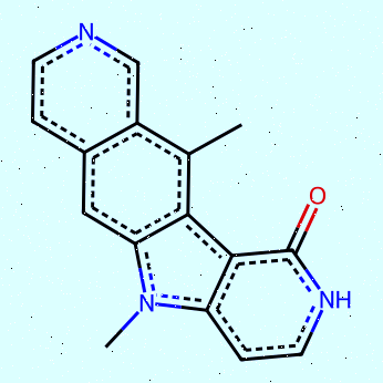 Cc1c2cnccc2cc2c1c1c(=O)[nH]ccc1n2C